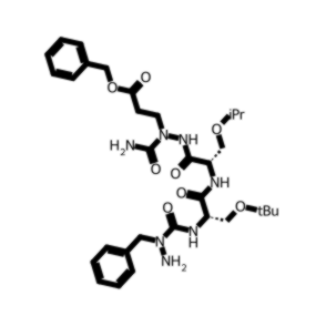 CC(C)OC[C@H](NC(=O)[C@H](COC(C)(C)C)NC(=O)N(N)Cc1ccccc1)C(=O)NN(CCC(=O)OCc1ccccc1)C(N)=O